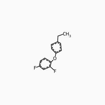 CCc1ccc(Oc2ccc(F)cc2F)cc1